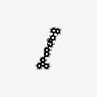 c1ccc2c(-c3ccc4c(c3)oc3cc(-c5ccc6cc(-c7ccc8c9ccccc9c9ccccc9c8c7)ccc6c5)ccc34)cccc2c1